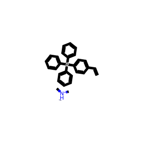 C=Cc1ccc([B-](c2ccccc2)(c2ccccc2)c2ccccc2)cc1.C[NH+](C)C